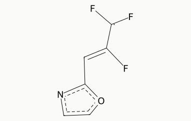 F[C](F)C(F)=Cc1ncco1